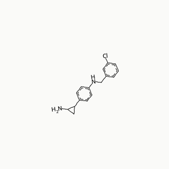 NC1CC1c1ccc(NCc2cccc(Cl)c2)cc1